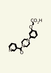 O=C(O)COc1cccc(N2CCN(C(=O)c3cccnc3)CC2)c1